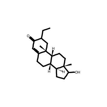 CCC1C[C@@]2(C)C(=CC1=O)CC[C@@H]1[C@H]2CC[C@]2(C)C(O)CC[C@@H]12